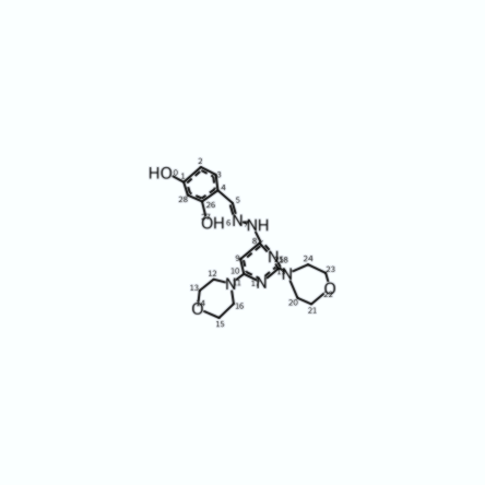 Oc1ccc(C=NNc2cc(N3CCOCC3)nc(N3CCOCC3)n2)c(O)c1